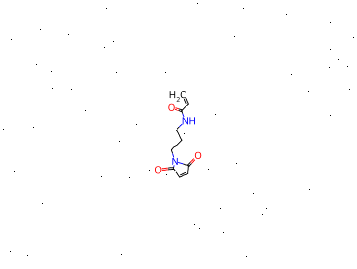 C=CC(=O)NCCCN1C(=O)C=CC1=O